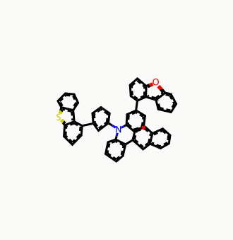 c1cc(-c2cccc3oc4ccccc4c23)cc(N(c2cccc(-c3cccc4sc5ccccc5c34)c2)c2ccccc2-c2ccc3ccccc3c2)c1